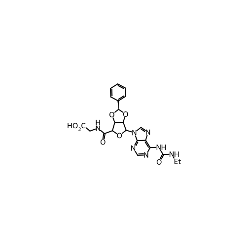 CCNC(=O)Nc1ncnc2c1ncn2C1OC(C(=O)NCC(=O)O)C2O[C@@H](c3ccccc3)OC21